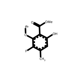 COC(=O)c1c(O)cc(C)c(F)c1OC(C)C